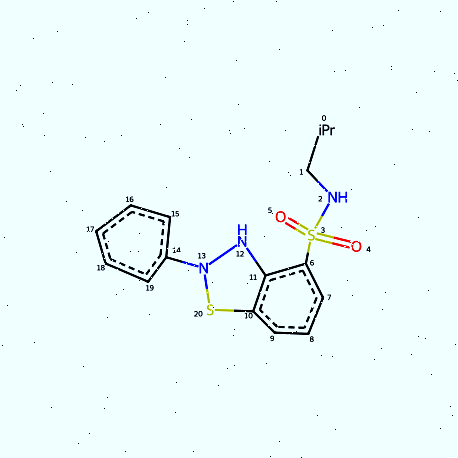 CC(C)CNS(=O)(=O)c1cccc2c1NN(c1ccccc1)S2